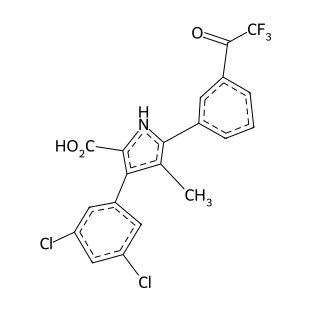 Cc1c(-c2cccc(C(=O)C(F)(F)F)c2)[nH]c(C(=O)O)c1-c1cc(Cl)cc(Cl)c1